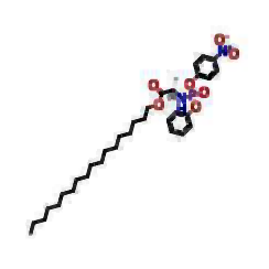 CCCCCCCCCCCCCCCCCCOC(=O)[C@H](C)NP(=O)(Oc1ccccc1)Oc1ccc([N+](=O)[O-])cc1